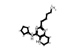 CCCCCc1nc2c(c(NC3CCCC3)n1)NCCC2